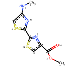 CNc1csc(-c2nc(C(=O)OC)cs2)n1